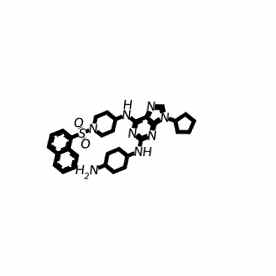 NC1CCC(Nc2nc(NC3CCN(S(=O)(=O)c4cccc5ccccc45)CC3)c3ncn(C4CCCC4)c3n2)CC1